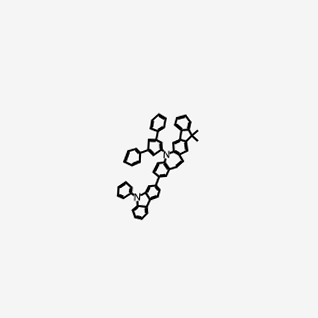 CC1(C)c2ccccc2-c2cc3c(cc21)C=Cc1cc(-c2ccc4c5ccccc5n(-c5ccccc5)c4c2)ccc1N3c1cc(-c2ccccc2)cc(-c2ccccc2)c1